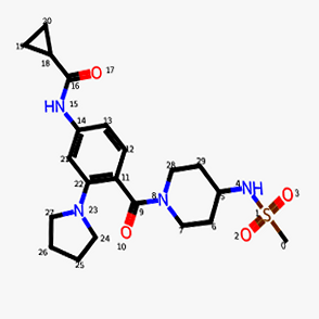 CS(=O)(=O)NC1CCN(C(=O)c2ccc(NC(=O)C3CC3)cc2N2CCCC2)CC1